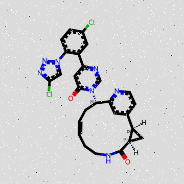 O=C1NCCC=CC[C@H](n2cnc(-c3cc(Cl)ccc3-n3cc(Cl)nn3)cc2=O)c2cc(ccn2)[C@H]2C[C@@H]12